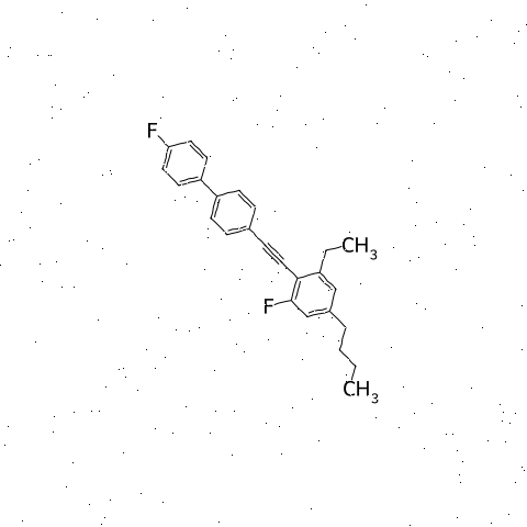 CCCCc1cc(F)c(C#Cc2ccc(-c3ccc(F)cc3)cc2)c(CC)c1